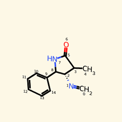 C=N[C@H]1C(C)C(=O)NC1c1ccccc1